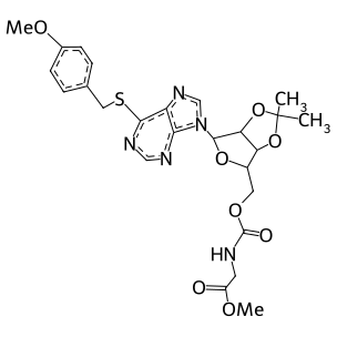 COC(=O)CNC(=O)OCC1OC(n2cnc3c(SCc4ccc(OC)cc4)ncnc32)C2OC(C)(C)OC12